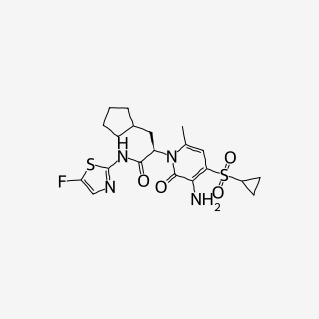 Cc1cc(S(=O)(=O)C2CC2)c(N)c(=O)n1[C@H](CC1CCCC1)C(=O)Nc1ncc(F)s1